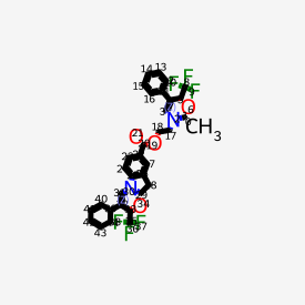 CCN(/C=C(\C(=O)C(F)(F)F)c1ccccc1)CCOC(=O)c1ccc2c(c1)CCN2/C=C(\C(=O)C(F)(F)F)C1C=CC=CC1